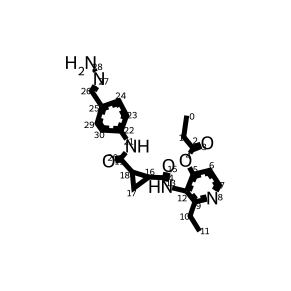 CCC(=O)Oc1ccnc(CC)c1NC(=O)C1CC1C(=O)Nc1ccc(C=NN)cc1